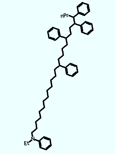 CCCC(c1ccccc1)C(CCC(CCCCC(CCCCCCCCCCCCCN(CC)c1ccccc1)c1ccccc1)c1ccccc1)c1ccccc1